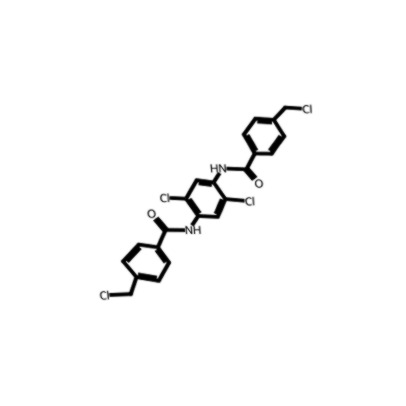 O=C(Nc1cc(Cl)c(NC(=O)c2ccc(CCl)cc2)cc1Cl)c1ccc(CCl)cc1